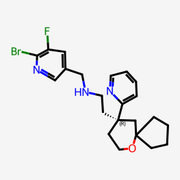 Fc1cc(CNCC[C@@]2(c3ccccn3)CCOC3(CCCC3)C2)cnc1Br